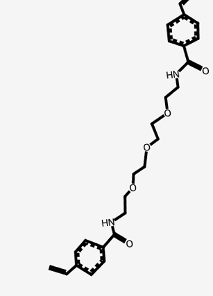 C=Cc1ccc(C(=O)NCCOCCOCCOCCNC(=O)c2ccc(C=C)cc2)cc1